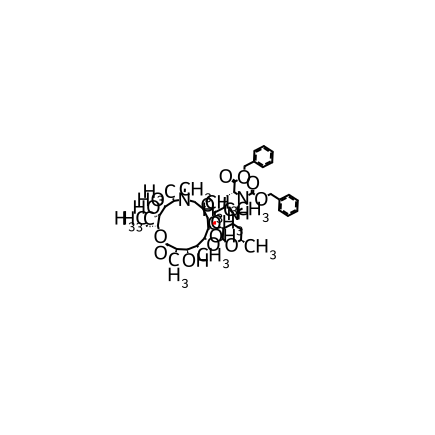 CC[C@H]1OC(=O)[C@H](C)[C@@H](O)[C@H](C)[C@@H](O[C@@H]2O[C@H](C)C[C@H](N(C)C)[C@H]2OC(=O)CC[C@@H](NC(=O)OCc2ccccc2)C(=O)OCc2ccccc2)[C@](C)(O)C[C@@H](C)CN(C)[C@H](C)[C@@H](O)[C@]1(C)O